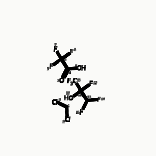 ClCCl.O=C(O)C(F)(F)F.OC(F)(C(F)F)C(F)(F)F